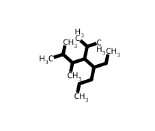 CCC[C](CC)C(C(C)C)C(C)C(C)C